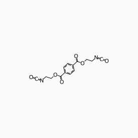 O=C=NCCOC(=O)c1ccc(C(=O)OCCN=C=O)cc1